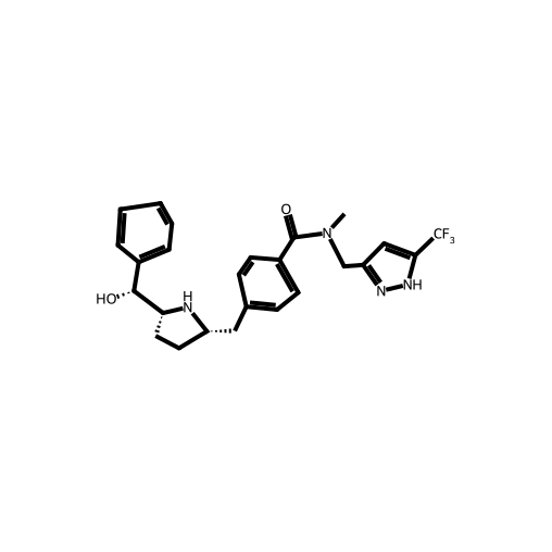 CN(Cc1cc(C(F)(F)F)[nH]n1)C(=O)c1ccc(C[C@@H]2CC[C@H]([C@H](O)c3ccccc3)N2)cc1